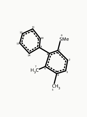 CSc1ccc(C)c(C)c1-c1ccccc1